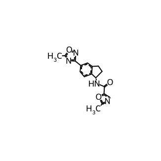 Cc1nc(-c2ccc3c(c2)CC[C@H]3NC(=O)c2cnc(C)o2)no1